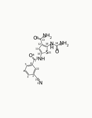 N#Cc1cccc(C(=O)Nc2cc(C(N)=O)c(NC(N)=O)s2)c1